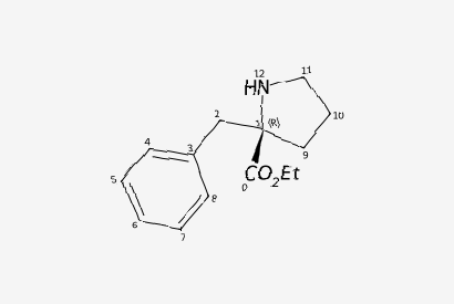 CCOC(=O)[C@]1(Cc2ccccc2)CCCN1